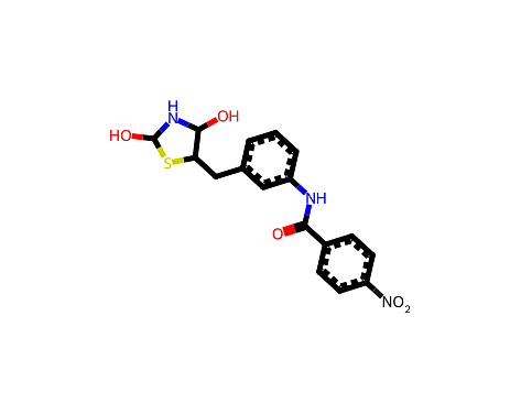 O=C(Nc1cccc(CC2SC(O)NC2O)c1)c1ccc([N+](=O)[O-])cc1